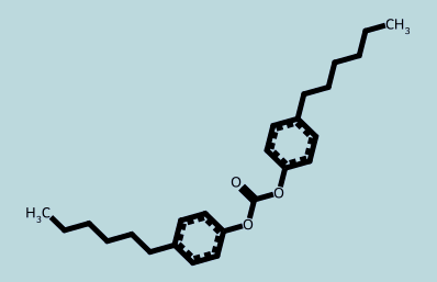 CCCCCCc1ccc(OC(=O)Oc2ccc(CCCCCC)cc2)cc1